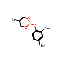 CCC1COP(Oc2ccc(C(C)(C)C)cc2C(C)(C)C)OC1